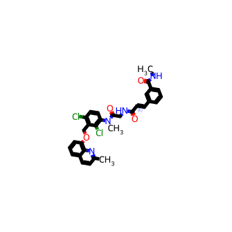 CNC(=O)c1cccc(/C=C/C(=O)NCC(=O)N(C)c2ccc(Cl)c(COc3cccc4ccc(C)nc34)c2Cl)c1